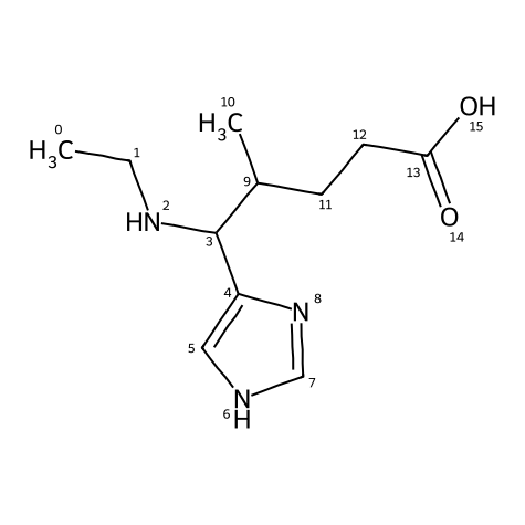 CCNC(c1c[nH]cn1)C(C)CCC(=O)O